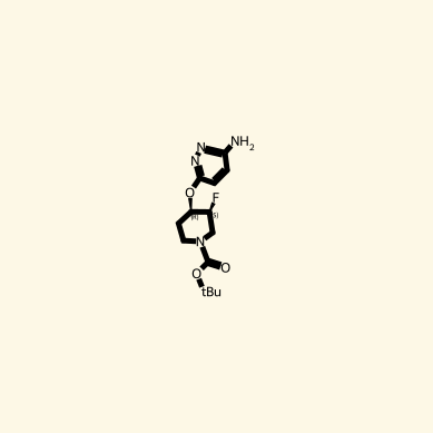 CC(C)(C)OC(=O)N1CC[C@@H](Oc2ccc(N)nn2)[C@@H](F)C1